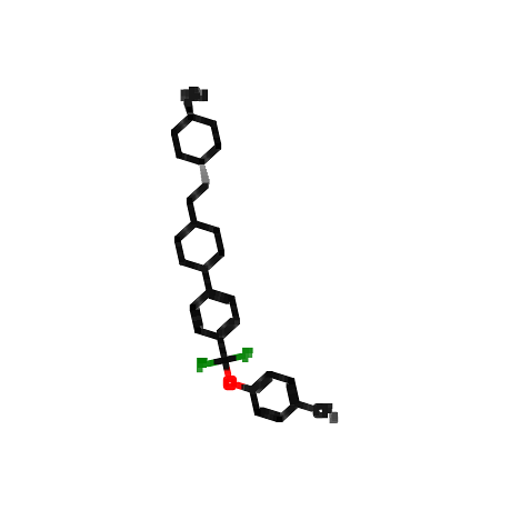 CCCC[C@H]1CC[C@H](CCC2CCC(c3ccc(C(F)(F)Oc4ccc(C(F)(F)F)cc4)cc3)CC2)CC1